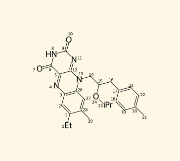 CCc1cc2nc3c(=O)[nH]c(=O)nc-3n(CC(Cc3ccc(C)cc3)OC(C)C)c2cc1C